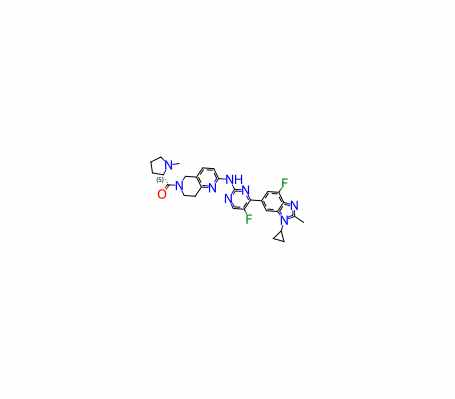 Cc1nc2c(F)cc(-c3nc(Nc4ccc5c(n4)CCN(C(=O)[C@@H]4CCCN4C)C5)ncc3F)cc2n1C1CC1